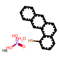 O.O=[PH](O)O.Sc1cccc2ccc3cc4ccccc4cc3c12.[KH]